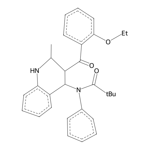 CCOc1ccccc1C(=O)C1C(C)Nc2ccccc2C1N(C(=O)C(C)(C)C)c1ccccc1